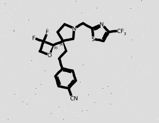 N#Cc1ccc(CC[C@@]2([C@H]3OCC3(F)F)CCN(Cc3nc(C(F)(F)F)cs3)C2)cc1